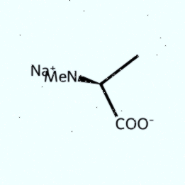 CN[C@@H](C)C(=O)[O-].[Na+]